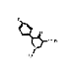 CCOC(=O)C1CN(C)CC(c2ccc(F)cc2)C1=O